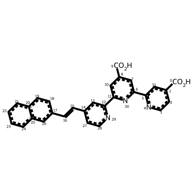 O=C(O)c1ccnc(-c2cc(C(=O)O)cc(-c3cc(/C=C/c4ccc5ccccc5c4)ccn3)n2)c1